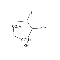 O=C(O)CC(=O)O.[KH].[Li][CH](C)C(CC)CCC